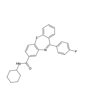 O=C(NC1CCCCC1)c1ccc2c(c1)N=C(c1ccc(F)cc1)c1ccccc1S2